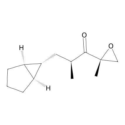 C[C@@H](C[C@H]1[C@@H]2CCC[C@@H]21)C(=O)[C@@]1(C)CO1